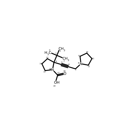 CC(C)(C)C1(C#CCN2CCCC2)CCCN1C(=O)O